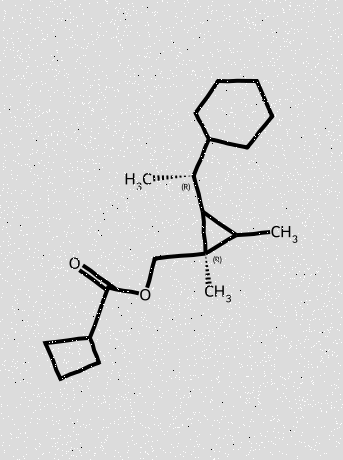 CC1C([C@H](C)C2CCCCC2)[C@]1(C)COC(=O)C1CCC1